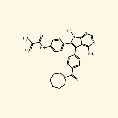 C=C(C)C(=O)Nc1ccc(-c2c(-c3ccc(C(=O)N4CCCCCC4)cc3)c3c(N)ncnc3n2C)cc1